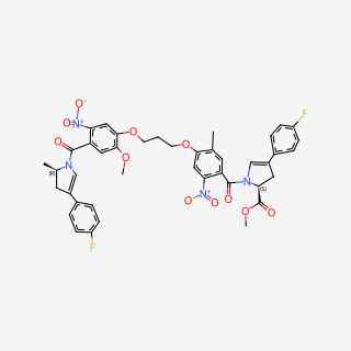 COC(=O)[C@@H]1CC(c2ccc(F)cc2)=CN1C(=O)c1cc(C)c(OCCCOc2cc([N+](=O)[O-])c(C(=O)N3C=C(c4ccc(F)cc4)C[C@H]3C)cc2OC)cc1[N+](=O)[O-]